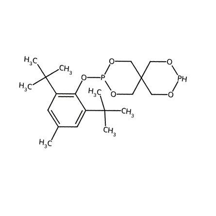 Cc1cc(C(C)(C)C)c(OP2OCC3(COPOC3)CO2)c(C(C)(C)C)c1